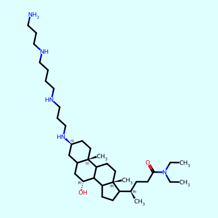 CCN(CC)C(=O)CC[C@@H](C)C1CCC2C3C(CC[C@@]21C)[C@@]1(C)CC[C@H](NCCCNCCCCNCCCN)CC1C[C@H]3O